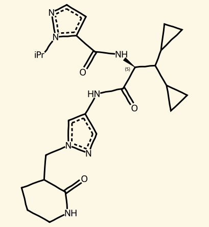 CC(C)n1nccc1C(=O)N[C@H](C(=O)Nc1cnn(CC2CCCNC2=O)c1)C(C1CC1)C1CC1